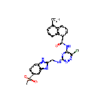 CS(=O)(=O)c1ccc2[nH]c(CNc3nnc(Cl)c(NC(=O)c4cccc5c(C(=O)O)cccc45)n3)nc2c1